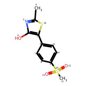 Cc1nc(O)c(-c2ccc(S(C)(=O)=O)cc2)s1